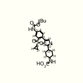 CC(C)(C)OC(=O)Nc1ccc(-c2cnc(C3CCC(NC(=O)O)CC3)s2)c(S(=O)(=O)C2CC2)c1